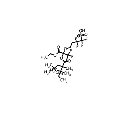 CCOC(=O)C(OCCC(F)(F)C(F)(F)S(=O)(=O)O)(OC(=O)C(C)(CC(C)(C)C)C(C)(C)CC)C(F)(F)F